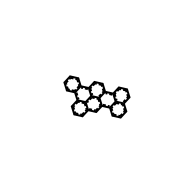 c1ccc2c(c1)c1cccc3cc4c5cccc6cccc(c7ccc2c(c31)c74)c65